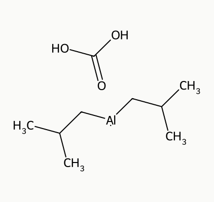 CC(C)[CH2][Al][CH2]C(C)C.O=C(O)O